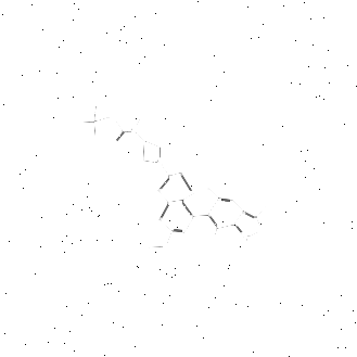 COc1cc(-c2c(Cl)cc3c(Cl)snc3c2F)c2ccc(N3CC(N(C)C(=O)OC(C)(C)C)C3)cc2c1